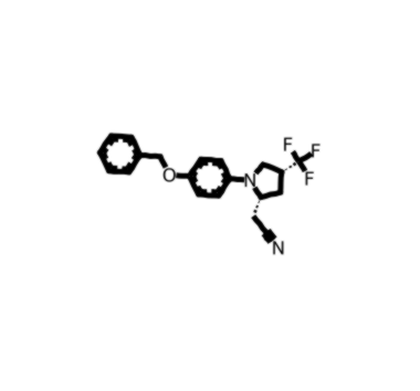 N#CC[C@H]1C[C@@H](C(F)(F)F)CN1c1ccc(OCc2ccccc2)cc1